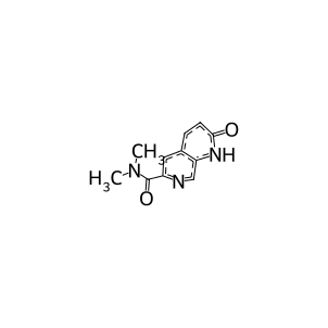 CN(C)C(=O)c1cc2ccc(=O)[nH]c2cn1